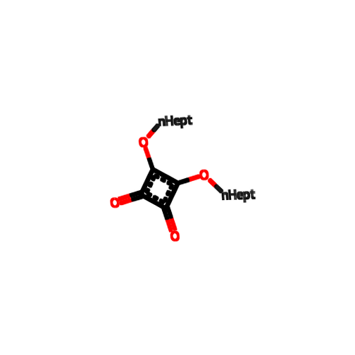 CCCCCCCOc1c(OCCCCCCC)c(=O)c1=O